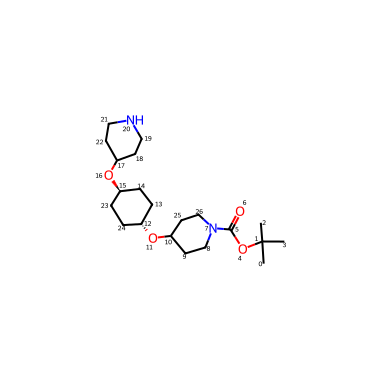 CC(C)(C)OC(=O)N1CCC(O[C@H]2CC[C@H](OC3CCNCC3)CC2)CC1